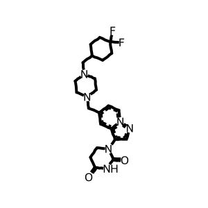 O=C1CCN(c2cnn3ccc(CN4CCN(CC5CCC(F)(F)CC5)CC4)cc23)C(=O)N1